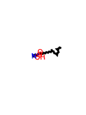 CCC1CC1CC1CC1CCC(C)CCCCCCCC(=O)OCC(O)C[N+](C)(C)C